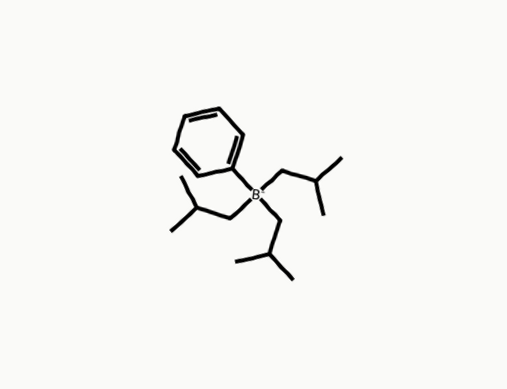 CC(C)C[B-](CC(C)C)(CC(C)C)c1ccccc1